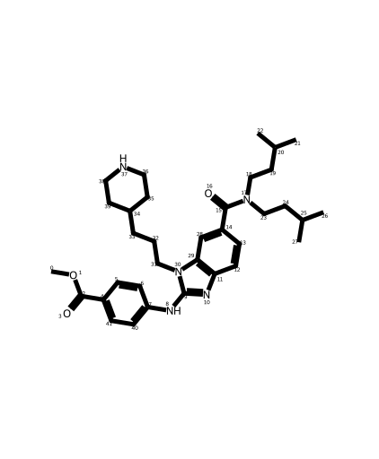 COC(=O)c1ccc(Nc2nc3ccc(C(=O)N(CCC(C)C)CCC(C)C)cc3n2CCCC2CCNCC2)cc1